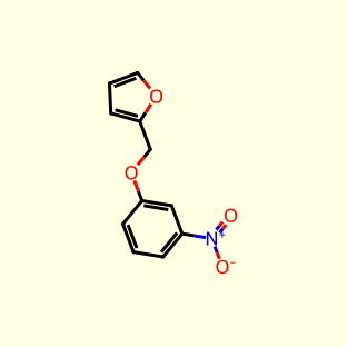 O=[N+]([O-])c1cccc(OCc2ccco2)c1